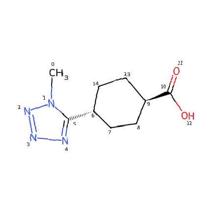 Cn1nnnc1[C@H]1CC[C@H](C(=O)O)CC1